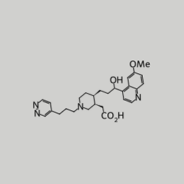 COc1ccc2nccc(C(O)CC[C@@H]3CCN(CCCc4ccnnc4)C[C@@H]3CC(=O)O)c2c1